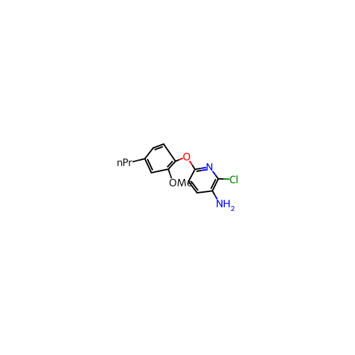 CCCc1ccc(Oc2ccc(N)c(Cl)n2)c(OC)c1